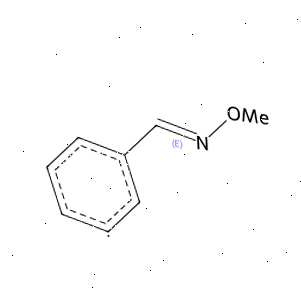 CO/N=C/c1c[c]ccc1